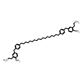 CCCc1cc(Cc2ccc(CCCCCCCCCCCCCCCCCCc3ccc(Cc4ccc(N)c(CCC)c4)cc3)cc2)ccc1N